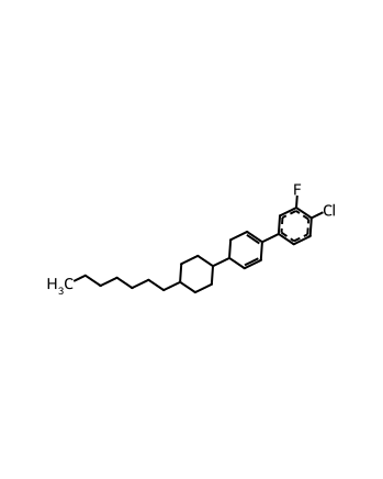 CCCCCCCC1CCC(C2C=CC(c3ccc(Cl)c(F)c3)=CC2)CC1